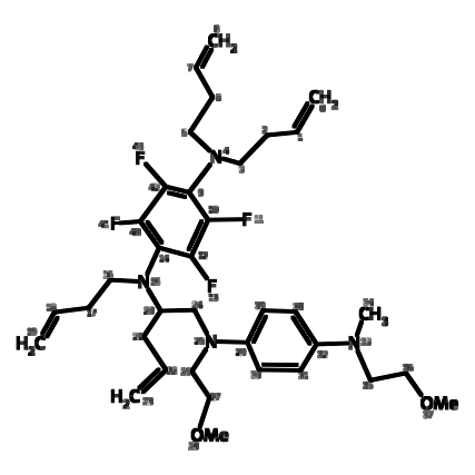 C=CCCN(CCC=C)c1c(F)c(F)c(N(CCC=C)C(CC=C)CN(CCOC)c2ccc(N(C)CCOC)cc2)c(F)c1F